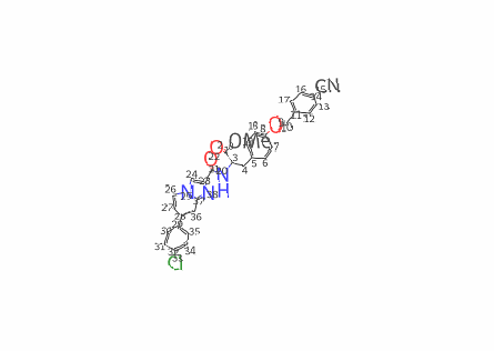 COC(=O)C(Cc1ccc(OCc2ccc(C#N)cc2)cc1)NC(=O)c1cn2ccc(-c3ccc(Cl)cc3)cc2n1